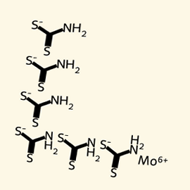 NC(=S)[S-].NC(=S)[S-].NC(=S)[S-].NC(=S)[S-].NC(=S)[S-].NC(=S)[S-].[Mo+6]